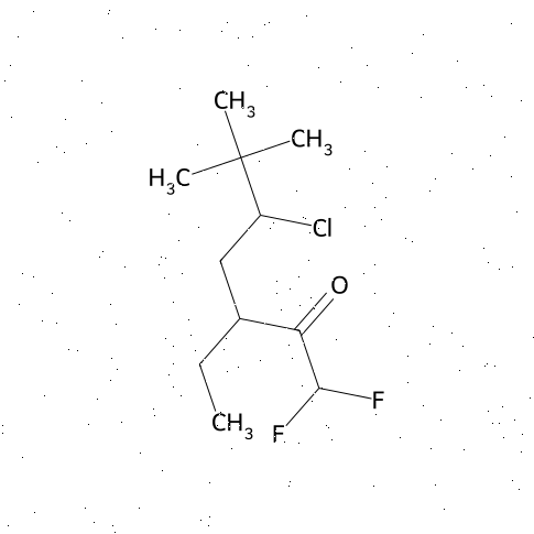 CCC(CC(Cl)C(C)(C)C)C(=O)C(F)F